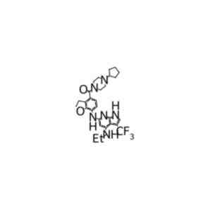 CCNc1cc(Nc2ccc(C(=O)N3CCN(C4CCCC4)CC3)c3c2OCC3)nc2[nH]cc(C(F)(F)F)c12